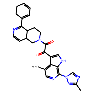 COc1cnc(-n2cnc(C)n2)c2[nH]cc(C(=O)C(=O)N3CCC4C(C5=CC=CCC5)=NC=CC4C3)c12